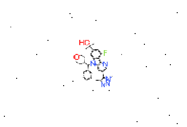 Cc1nnn(C)c1-c1cnc2c3c(F)cc(C(C)(C)O)cc3n(C(c3ccccc3)C3CCOCC3)c2c1